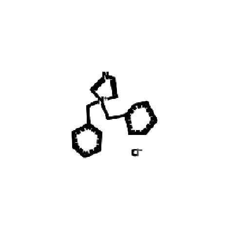 C1=C[N+](Cc2ccccc2)(Cc2ccccc2)C=N1.[Cl-]